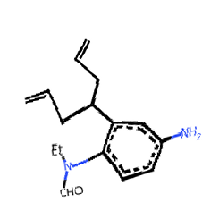 C=CCC(CC=C)c1cc(N)ccc1N(C=O)CC